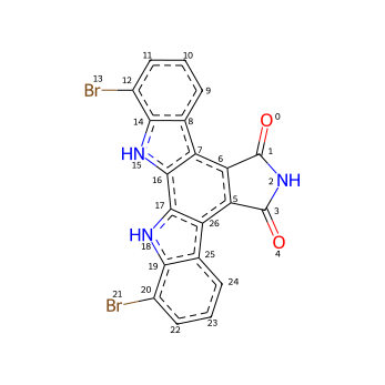 O=C1NC(=O)c2c1c1c3cccc(Br)c3[nH]c1c1[nH]c3c(Br)cccc3c21